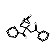 O=C(CC1(C(=O)c2ccccc2)C2SC(=O)N1C2=O)c1ccccc1